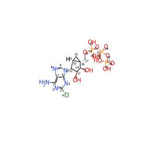 Nc1nc(Cl)nc2c1ncn2[C@H]1[C@H](O)[C@H](O)[C@]2(COP(=O)(O)OP(=O)(O)OP(=O)(O)O)C[C@H]12